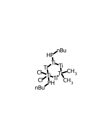 CCCC[PH][Ti]1[Ti][Ti]([CH3])([CH3])[Ti][Ti]([Cl])([Cl])([PH]CCCC)[Ti]1